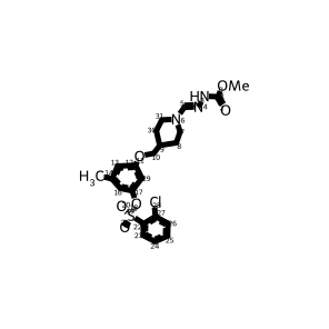 COC(=O)NN=CN1CCC(COc2cc(C)cc(OS(=O)(=O)c3ccccc3Cl)c2)CC1